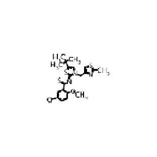 COc1ccc(Cl)cc1C(=S)/N=c1\sc(C(C)(C)C)cn1Cc1csc(C)n1